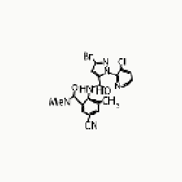 CNC(=O)c1cc(C#N)cc(C)c1NC(O)c1cc(Br)nn1-c1ncccc1Cl